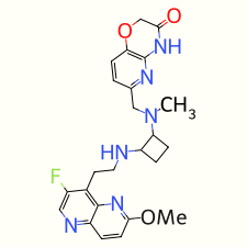 COc1ccc2ncc(F)c(CCNC3CCC3N(C)Cc3ccc4c(n3)NC(=O)CO4)c2n1